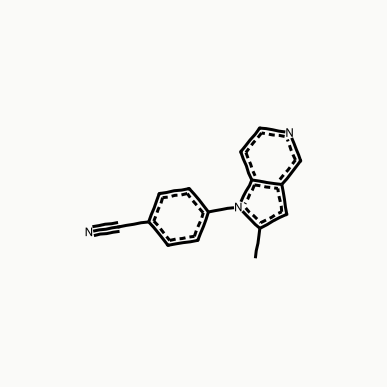 Cc1cc2cnccc2n1-c1ccc(C#N)cc1